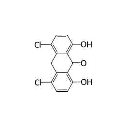 O=C1c2c(O)ccc(Cl)c2Cc2c(Cl)ccc(O)c21